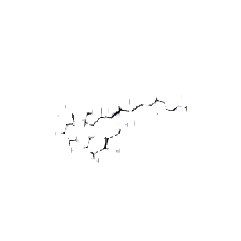 C=C[C@](C)(CC/C=C(\C)CC/C=C(\C)CC(O)/C=C(\C)C(=O)O)O[C@@H]1OC(CO)[C@@H](O)C(O)C1O[C@@H]1OC(CO)[C@@H](O)C(O)C1O